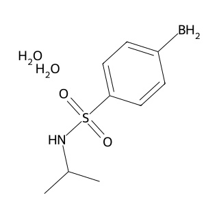 Bc1ccc(S(=O)(=O)NC(C)C)cc1.O.O